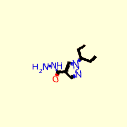 CCC(CC)n1cc(C(=O)NN)cn1